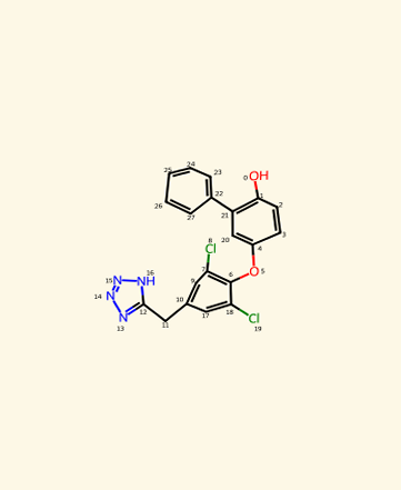 Oc1ccc(Oc2c(Cl)cc(Cc3nnn[nH]3)cc2Cl)cc1-c1ccccc1